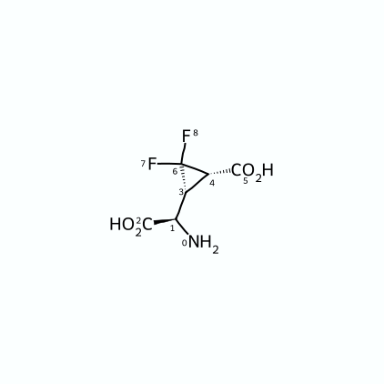 N[C@@H](C(=O)O)[C@H]1[C@@H](C(=O)O)C1(F)F